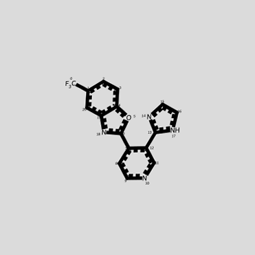 FC(F)(F)c1ccc2oc(-c3ccncc3-c3ncc[nH]3)nc2c1